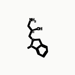 CN1c2ccccc2CN1C[C@H](O)CN